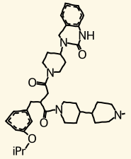 CC(C)Oc1cccc(CC(CC(=O)N2CCC(N3Cc4ccccc4NC3=O)CC2)C(=O)N2CCC(C3CCN(C)CC3)CC2)c1